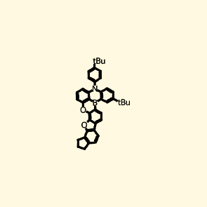 CC(C)(C)c1ccc(N2c3ccc(C(C)(C)C)cc3B3c4ccc5c(oc6c7c(ccc65)CCC7)c4Oc4cccc2c43)cc1